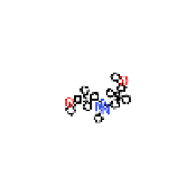 c1ccc(-c2nc(-c3cccc([Si](c4ccccc4)(c4ccccc4)c4ccc5oc6ccccc6c5c4)c3)nc(-c3cccc([Si](c4ccccc4)(c4ccccc4)c4ccc5oc6ccccc6c5c4)c3)n2)cc1